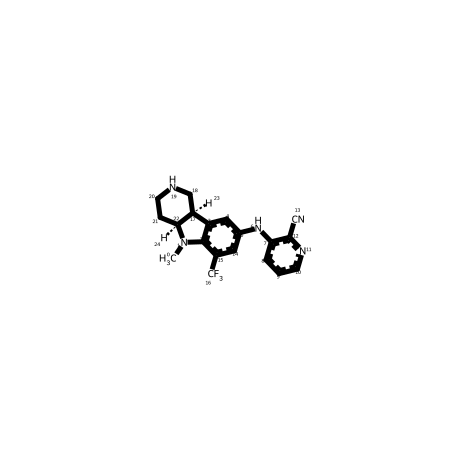 CN1c2c(cc(Nc3cccnc3C#N)cc2C(F)(F)F)[C@@H]2CNCC[C@@H]21